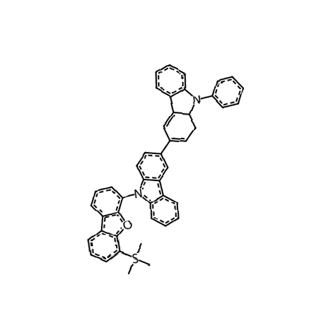 CS(C)(C)c1cccc2c1oc1c(-n3c4ccccc4c4cc(C5=CCC6C(=C5)c5ccccc5N6c5ccccc5)ccc43)cccc12